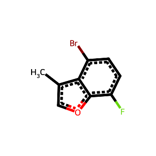 Cc1coc2c(F)ccc(Br)c12